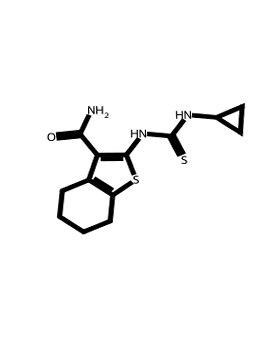 NC(=O)c1c(NC(=S)NC2CC2)sc2c1CCCC2